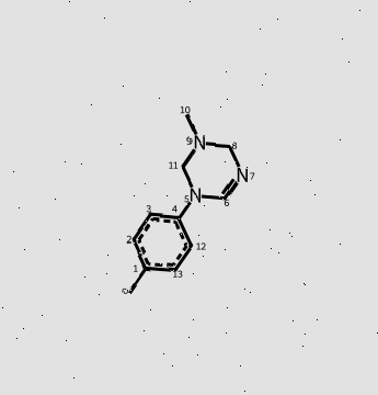 Cc1ccc(N2C=NCN(C)C2)cc1